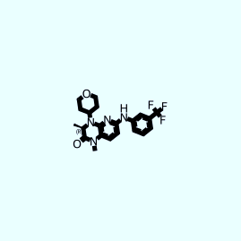 C[C@@H]1C(=O)N(C)c2ccc(Nc3cccc(C(F)(F)F)c3)nc2N1C1CCOCC1